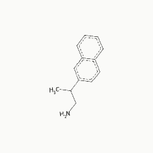 CC(CN)c1ccc2ccccc2c1